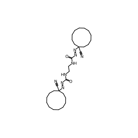 N#CC1(N=NC(=O)NCCNC(=O)N=NC2(C#N)CCCCCCCCCCC2)CCCCCCCCCCC1